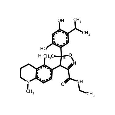 CCNC(=O)C1=NO[C@@](C)(c2cc(C(C)C)c(O)cc2O)C1c1ccc2c(c1C)CCCN2C